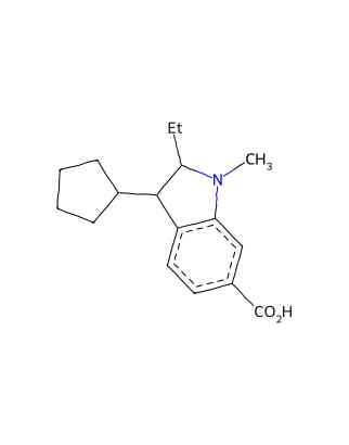 CCC1C(C2CCCC2)c2ccc(C(=O)O)cc2N1C